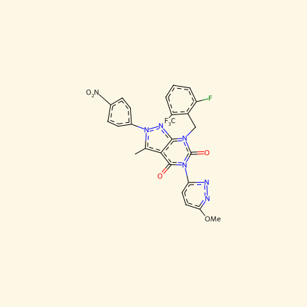 COc1ccc(-n2c(=O)c3c(C)n(-c4ccc([N+](=O)[O-])cc4)nc3n(Cc3c(F)cccc3C(F)(F)F)c2=O)nn1